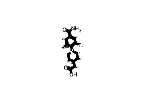 NC(=O)c1cc(F)c(N2CCC(CC(=O)O)CC2)c(F)c1